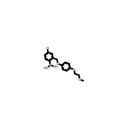 COCCOc1ccc(OCc2cc(Cl)ccc2B(O)O)cc1